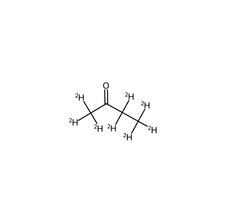 [2H]C([2H])([2H])C(=O)C([2H])([2H])C([2H])([2H])[2H]